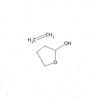 C=C.OC1CCCO1